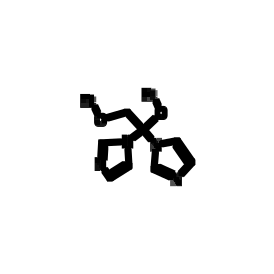 CCOCC(OCC)(n1ccnc1)n1ccnc1